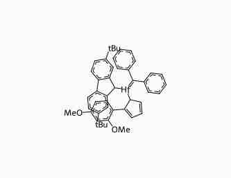 COc1ccc(C2=CC=C[CH]2[Hf](=[C](c2ccccc2)c2ccccc2)[CH]2c3cc(C(C)(C)C)ccc3-c3ccc(C(C)(C)C)cc32)c(OC)c1